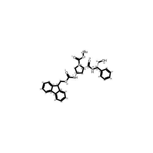 CC(C)(C)OC(=O)N1C[C@@H](NC(=O)OCC2c3ccccc3-c3ccccc32)C[C@H]1C(=O)N[C@H](CO)c1ccccc1